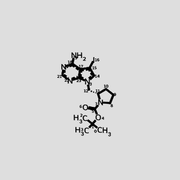 CC(C)(C)OC(=O)N1CCC[C@H]1Cn1cc(I)c2c(N)ncnc21